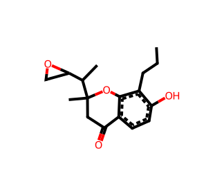 CCCc1c(O)ccc2c1OC(C)(C(C)C1CO1)CC2=O